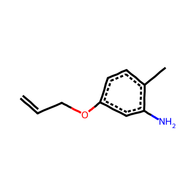 C=CCOc1ccc(C)c(N)c1